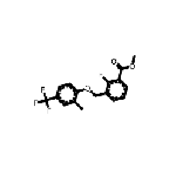 COC(=O)c1cccc(COc2ccc(C(F)(F)F)cc2C)c1F